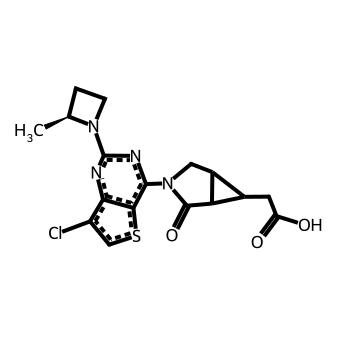 C[C@H]1CCN1c1nc(N2CC3C(CC(=O)O)C3C2=O)c2scc(Cl)c2n1